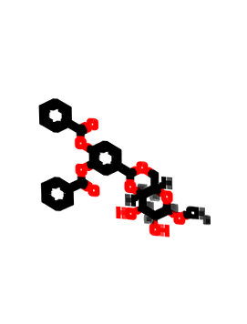 CO[C@@H]1O[C@@H]2COC(c3ccc(OC(=O)c4ccccc4)c(OC(=O)c4ccccc4)c3)O[C@@H]2[C@H](O)[C@H]1O